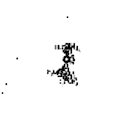 CC(C)CC(C)(COc1ccc(B2OC(C)(C)C(C)(C)O2)c2scnc12)NC(=O)OC(C)(C)C